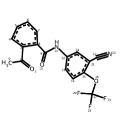 CC(=O)c1ccccc1C(=O)Nc1ccc(OC(F)(F)F)c(C#N)c1